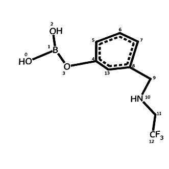 OB(O)Oc1cccc(CNCC(F)(F)F)c1